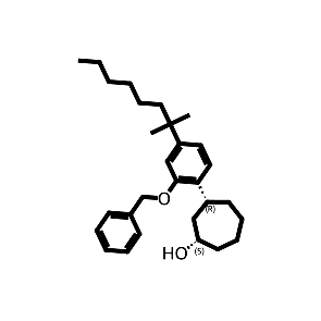 CCCCCCC(C)(C)c1ccc([C@@H]2CCCC[C@H](O)C2)c(OCc2ccccc2)c1